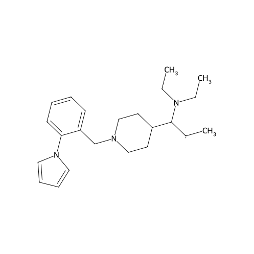 C[CH]C(C1CCN(Cc2ccccc2-n2cccc2)CC1)N(CC)CC